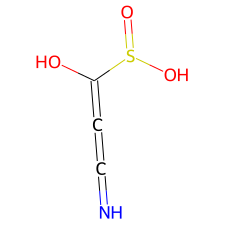 N=C=C=C(O)S(=O)O